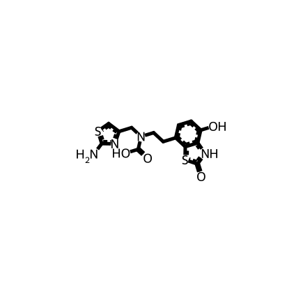 Nc1nc(CN(CCc2ccc(O)c3[nH]c(=O)sc23)C(=O)O)cs1